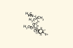 CNCC(C)(C)CCCC(C)(C(=O)OC)c1ccc(I)cc1